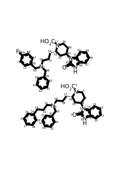 O=C(O)N1CCC(n2c(=O)[nH]c3ccccc32)C[C@@H]1CCCN(CCCc1ccccc1)Cc1ccccc1.O=C(O)N1CCC(n2c(=O)[nH]c3ccccc32)C[C@@H]1CCCN(Cc1ccccc1)Cc1ccc(F)cc1